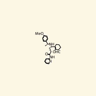 COc1ccc([C@H](C)N[C@@H](SCC(=O)Nc2ccccn2)C2=C(C=O)CCCC2)cc1